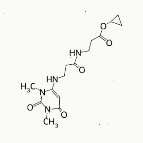 Cn1c(NCCC(=O)NCCC(=O)OC2CC2)cc(=O)n(C)c1=O